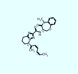 C=C(/C=C\C=C/C)[C@H]1CCCc2nc(C(=O)N[C@H]3COc4ccccc4N(C)C3=O)nn21